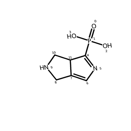 O=P(O)(O)C1=NC=C2CNCC21